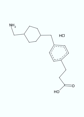 Cl.NCC1CCC(Cc2ccc(CCC(=O)O)cc2)CC1